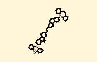 CC1(C)c2cc(/C=C/c3ccc4c(ccc5cc(N6c7ccccc7C=Cc7ccccc76)ccc54)c3)ccc2-c2ccc(N3c4ccccc4Sc4ccccc43)cc21